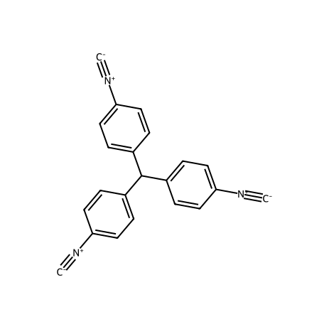 [C-]#[N+]c1ccc(C(c2ccc([N+]#[C-])cc2)c2ccc([N+]#[C-])cc2)cc1